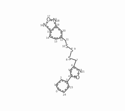 c1ccc(-c2cc(CSSSCc3ccc4nonc4c3)no2)cc1